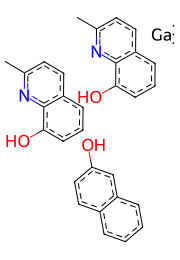 Cc1ccc2cccc(O)c2n1.Cc1ccc2cccc(O)c2n1.Oc1ccc2ccccc2c1.[Ga]